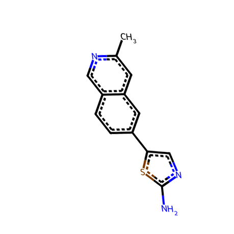 Cc1cc2cc(-c3cnc(N)s3)ccc2cn1